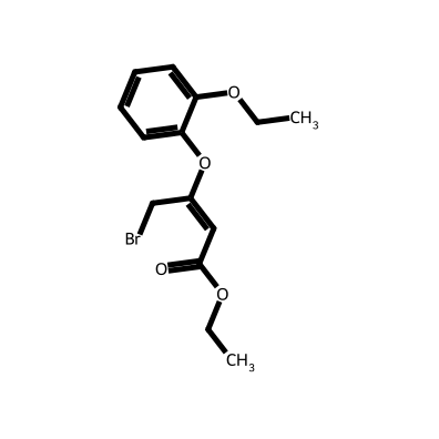 CCOC(=O)C=C(CBr)Oc1ccccc1OCC